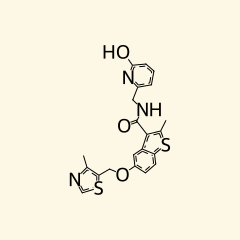 Cc1ncsc1COc1ccc2sc(C)c(C(=O)NCc3cccc(O)n3)c2c1